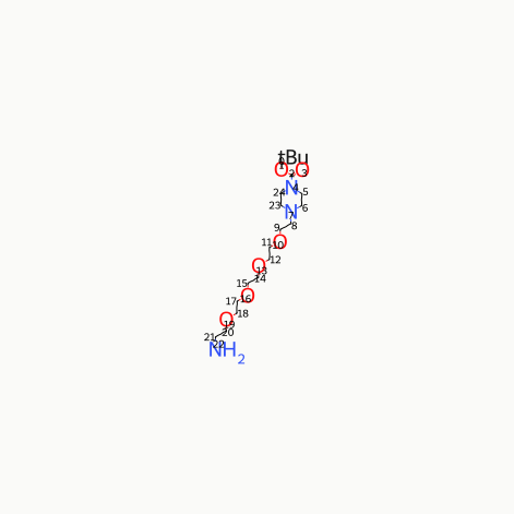 CC(C)(C)OC(=O)N1CCN(CCOCCOCCOCCOCCN)CC1